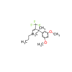 CCCC/C=C(/C(F)(F)F)C(C)(C)c1cc(OC)cc(OC)c1